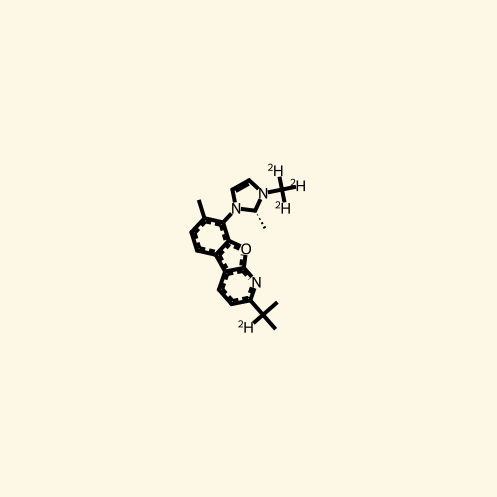 [2H]C(C)(C)c1ccc2c(n1)oc1c(N3C=CN(C([2H])([2H])[2H])[C@@H]3C)c(C)ccc12